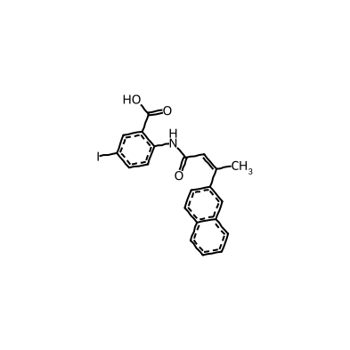 C/C(=C/C(=O)Nc1ccc(I)cc1C(=O)O)c1ccc2ccccc2c1